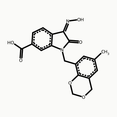 Cc1cc2c(c(CN3C(=O)/C(=N\O)c4ccc(C(=O)O)cc43)c1)OCOC2